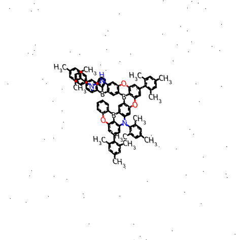 Cc1cc(C)c(-c2cc3c4c(c2)Oc2cc5c(cc2B4c2cc4c(cc2O3)Nc2cc(-c3c(C)cc(C)cc3C)cc3c2B4c2ccccc2N3c2ccccc2)B2c3ccccc3Oc3cc(-c4c(C)cc(C)cc4C)cc(c32)N5c2c(C)cc(C)cc2C)c(C)c1